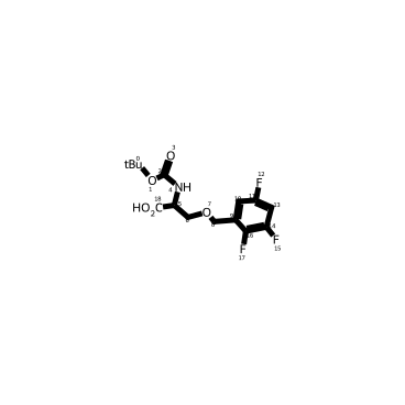 CC(C)(C)OC(=O)NC(COCc1cc(F)cc(F)c1F)C(=O)O